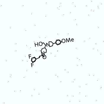 COc1ccc(C2CCN(C(CO)C3CCN(C(=O)C=Cc4cc(F)cc(F)c4)CC3)CC2)cc1